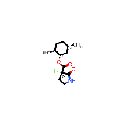 CC(C)C1CC[C@H](C)C[C@@H]1OC(=O)[C@]1(F)CCNC1=O